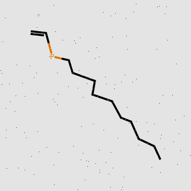 C=C[P]CCCCCCCCCC